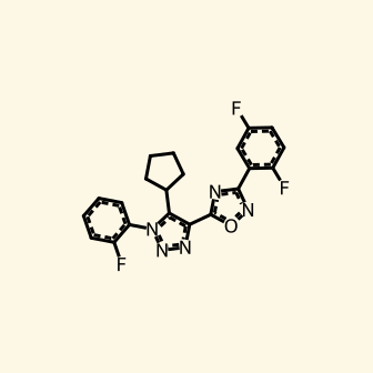 Fc1ccc(F)c(-c2noc(-c3nnn(-c4ccccc4F)c3C3CCCC3)n2)c1